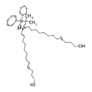 CC(C)(C)[Si](OC(CCCCCCCCSCCCO)CCCCCCCCSCCCO)(c1ccccc1)c1ccccc1